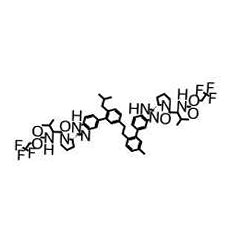 Cc1ccc(CCc2ccc(CC(C)C)c(-c3ccc4[nH]c([C@@H]5CCCN5C(=O)[C@@H](NC(=O)OCC(F)(F)F)C(C)C)nc4c3)c2)c(-c2ccc3[nH]c([C@@H]4CCCN4C(=O)[C@@H](NC(=O)OCC(F)(F)F)C(C)C)nc3c2)c1